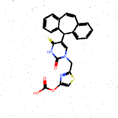 O=C(O)Oc1csc(Cn2cc(C3c4ccccc4C=Cc4ccccc43)c(=S)[nH]c2=O)n1